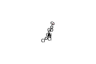 O=C(CSc1nnc(-c2ccc(Cl)cc2Cl)o1)Oc1ccc(C23CC4CC(CC(C4)C2)C3)cc1